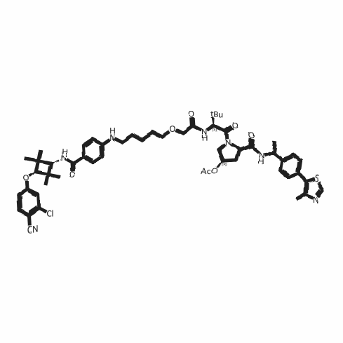 CC(=O)O[C@@H]1CC(C(=O)NC(C)c2ccc(-c3scnc3C)cc2)N(C(=O)[C@@H](NC(=O)COCCCCCNc2ccc(C(=O)N[C@H]3C(C)(C)[C@H](Oc4ccc(C#N)c(Cl)c4)C3(C)C)cc2)C(C)(C)C)C1